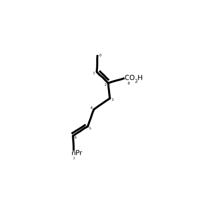 CC=C(CCC=CCCC)C(=O)O